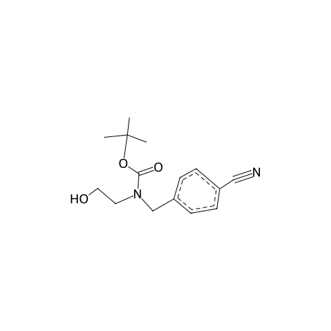 CC(C)(C)OC(=O)N(CCO)Cc1ccc(C#N)cc1